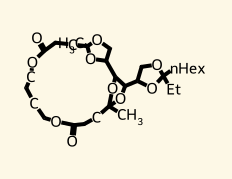 CCCCCCC1(CC)OCC(C2OC3(C)CCC(=O)OCCCCOC(=O)CCC4(C)OCC(O4)C2O3)O1